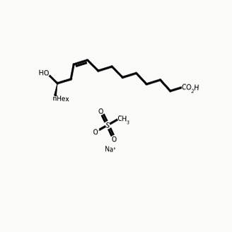 CCCCCC[C@@H](O)C/C=C\CCCCCCCC(=O)O.CS(=O)(=O)[O-].[Na+]